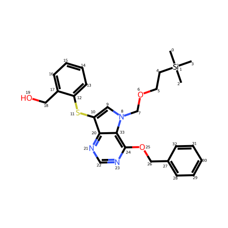 C[Si](C)(C)CCOCn1cc(Sc2ccccc2CO)c2ncnc(OCc3ccccc3)c21